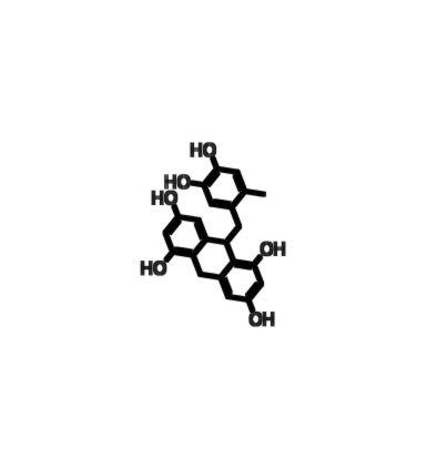 Cc1cc(O)c(O)cc1CC1c2cc(O)cc(O)c2Cc2cc(O)cc(O)c21